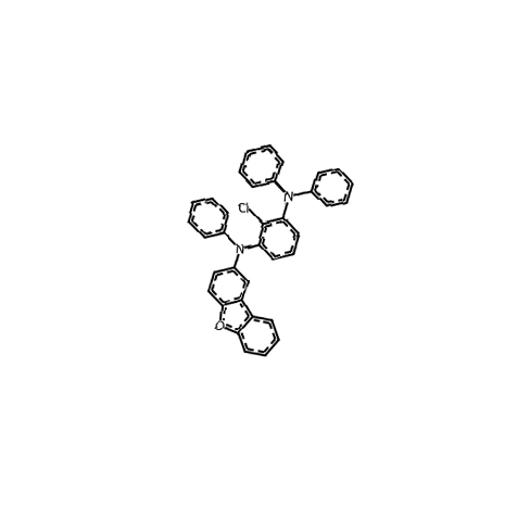 Clc1c(N(c2ccccc2)c2ccccc2)cccc1N(c1ccccc1)c1ccc2oc3ccccc3c2c1